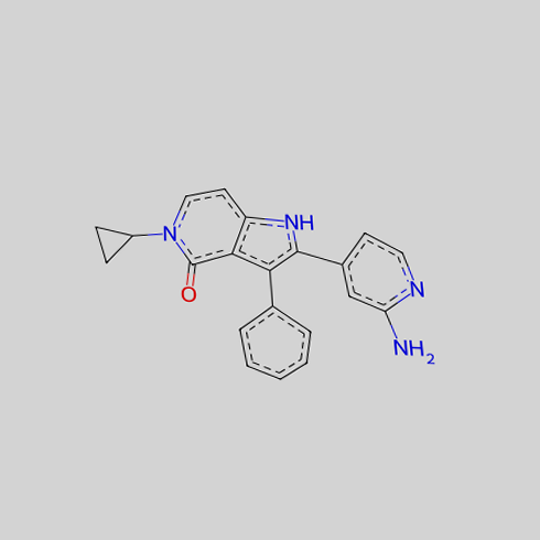 Nc1cc(-c2[nH]c3ccn(C4CC4)c(=O)c3c2-c2ccccc2)ccn1